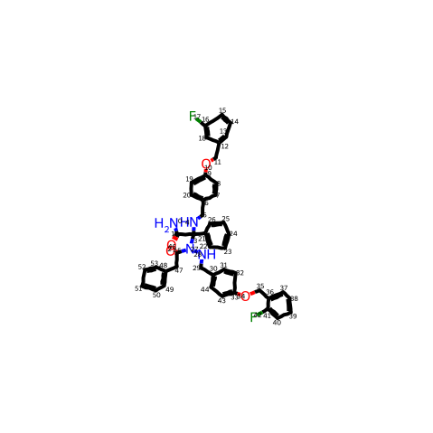 NC(=O)C(NCc1ccc(OCc2cccc(F)c2)cc1)(c1ccccc1)N(NCc1ccc(OCc2ccccc2F)cc1)C(=O)Cc1ccccc1